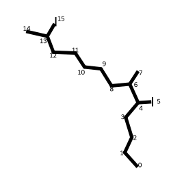 CCCCC(I)C(C)CCCCCC(C)I